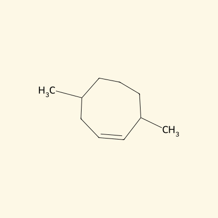 CC1C=CCC(C)CCC1